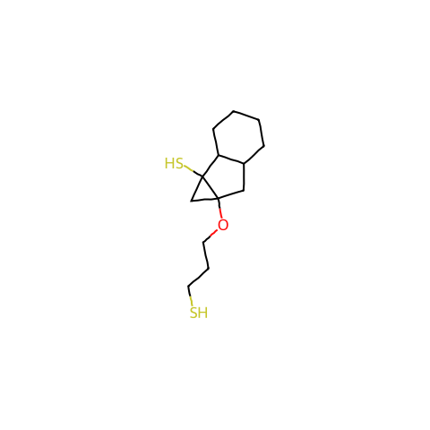 SCCCOC12CC3CCCCC3C1(S)C2